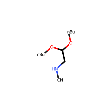 CCCCOC(CNC#N)OCCCC